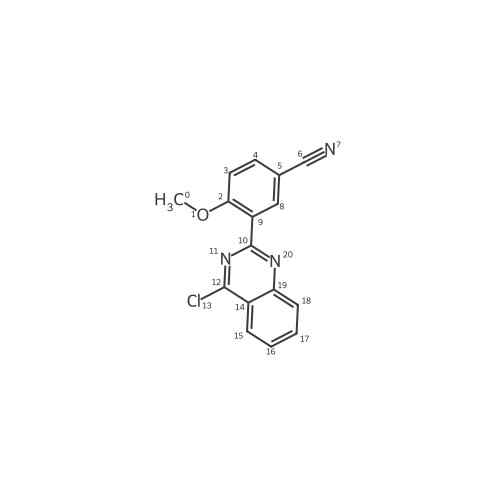 COc1ccc(C#N)cc1-c1nc(Cl)c2ccccc2n1